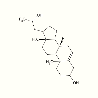 CC12CCC(O)CC1=CC[C@@H]1C2CC[C@]2(C)C(C[C@@H](O)C(F)(F)F)CCC12